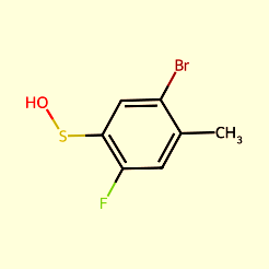 Cc1cc(F)c(SO)cc1Br